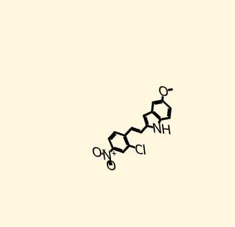 COc1ccc2[nH]c(C=Cc3ccc([N+](=O)[O-])cc3Cl)cc2c1